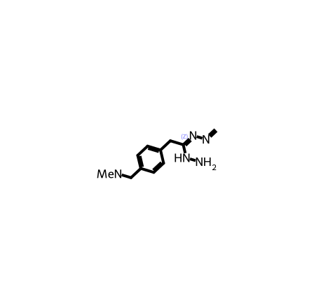 C=N/N=C(/Cc1ccc(CNC)cc1)NN